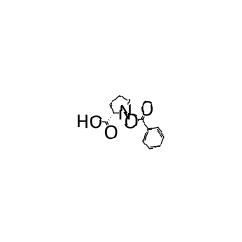 O=C(ON1CCC[C@H]1C(=O)O)c1ccccc1